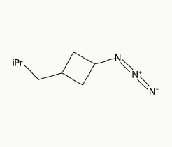 CC(C)CC1CC(N=[N+]=[N-])C1